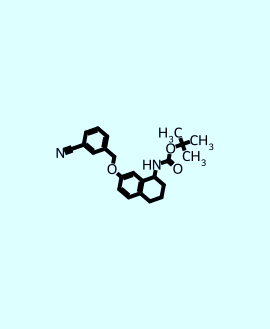 CC(C)(C)OC(=O)NC1CCCc2ccc(OCc3cccc(C#N)c3)cc21